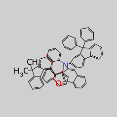 CC1(C)c2ccccc2-c2c(-c3ccccc3N(c3ccc4c(c3)C(c3ccccc3)(c3ccccc3)c3ccccc3-4)c3ccccc3-c3cccc4oc5c6ccccc6ccc5c34)cccc21